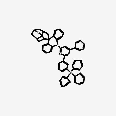 c1ccc(-c2cc(N3c4ccccc4C4(c5ccccc53)C3CC5CC6CC4C6(C5)C3)nc(-c3cccc([Si](c4ccccc4)(c4ccccc4)c4ccccc4)c3)n2)cc1